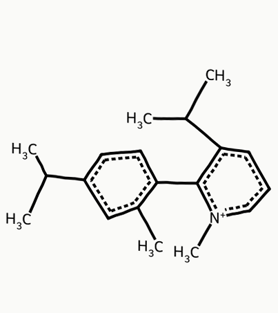 Cc1cc(C(C)C)ccc1-c1c(C(C)C)ccc[n+]1C